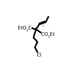 C/C=C/C(CCCCl)(C(=O)OCC)C(=O)OCC